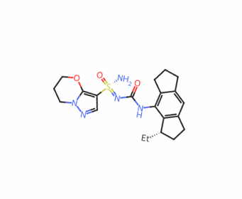 CC[C@H]1CCc2cc3c(c(NC(=O)N=[S@](N)(=O)c4cnn5c4OCCC5)c21)CCC3